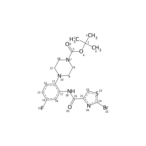 CC(C)(C)OC(=O)N1CCN(c2ccc(F)cc2NC(=O)c2csc(Br)n2)CC1